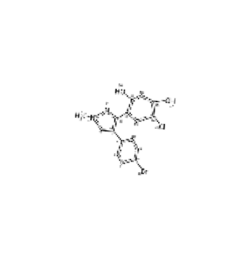 Cn1cc(-c2ccc(Br)cc2)c(-c2cc(Cl)c(O)cc2O)n1